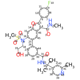 CNC(=O)c1c(-c2ccc(F)cc2)oc2cc(N(CCO)S(C)(=O)=O)c(-c3cccc(C(=O)NC(C)(C)c4ccnc(C)c4)c3)cc12